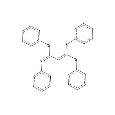 C(=C(Sc1ccccc1)Sc1ccccc1)/C(=N\c1ccccc1)Sc1ccccc1